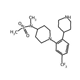 CN(C1CCN(c2cc(C(F)(F)F)ccc2C2CCNCC2)CC1)S(C)(=O)=O